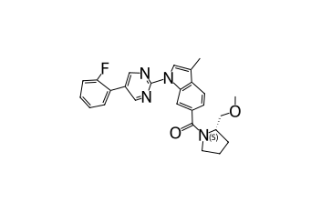 COC[C@@H]1CCCN1C(=O)c1ccc2c(C)cn(-c3ncc(-c4ccccc4F)cn3)c2c1